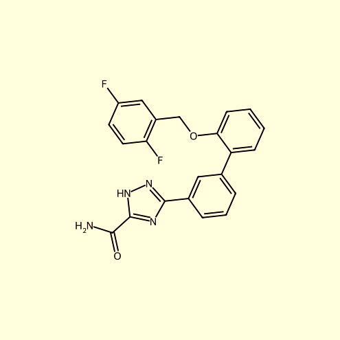 NC(=O)c1nc(-c2cccc(-c3ccccc3OCc3cc(F)ccc3F)c2)n[nH]1